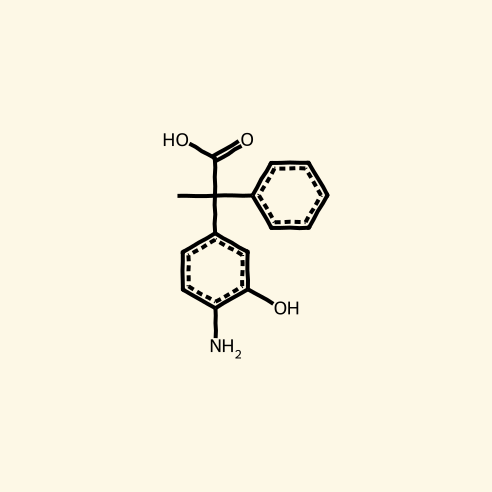 CC(C(=O)O)(c1ccccc1)c1ccc(N)c(O)c1